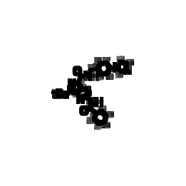 CC(C)(C)n1nc(C(=O)NCc2ccc(-n3ccnc3)cc2)c2sc(NC(=O)c3ccccc3)nc21